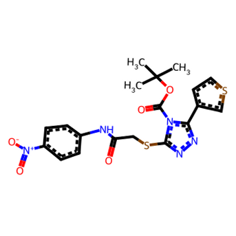 CC(C)(C)OC(=O)n1c(SCC(=O)Nc2ccc([N+](=O)[O-])cc2)nnc1-c1ccsc1